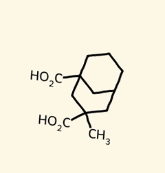 CC1(C(=O)O)CC2CCCC(C(=O)O)(C2)C1